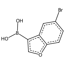 OB(O)c1coc2ccc(Br)cc12